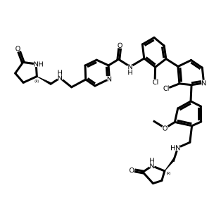 COc1cc(-c2nccc(-c3cccc(NC(=O)c4ccc(CNC[C@H]5CCC(=O)N5)cn4)c3Cl)c2Cl)ccc1CNC[C@H]1CCC(=O)N1